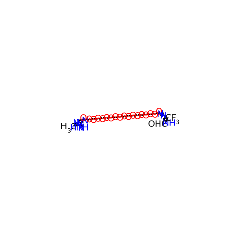 Cc1cnc(N2CCC(C(=O)NCCOCCOCCOCCOCCOCCOCCOCCOCCOCCOCCOCCOCCOCCOCCOCCOCCC(=O)N3CCN(Cc4ccc(NC=O)cc4C(F)(F)F)CC3)CC2)c(-c2ccn[nH]2)c1